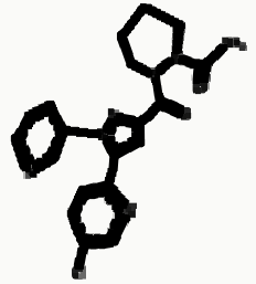 NC(=O)N1CCCCN1C(=O)c1cc(-c2ccc(Cl)cn2)n(-c2cccnc2)n1